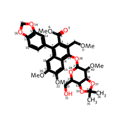 COCc1c(C(=O)OC)c(-c2ccc3c(c2)OCO3)c2cc(OC)c(OC)cc2c1OC1OC(CO)C2OC(C)(C)OC2C1OC